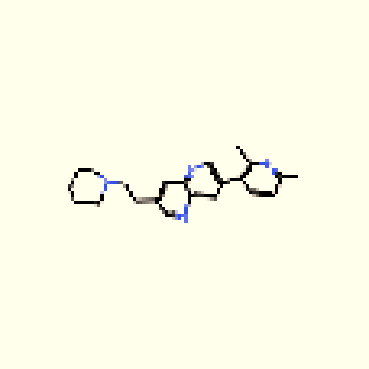 Cc1ccc(-c2cnc3cc(CCN4CCCCC4)cnc3c2)c(C)n1